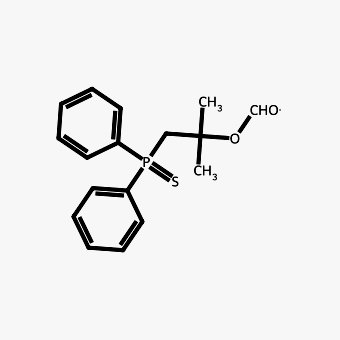 CC(C)(CP(=S)(c1ccccc1)c1ccccc1)O[C]=O